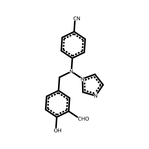 N#Cc1ccc(N(Cc2ccc(O)c(C=O)c2)n2ccnc2)cc1